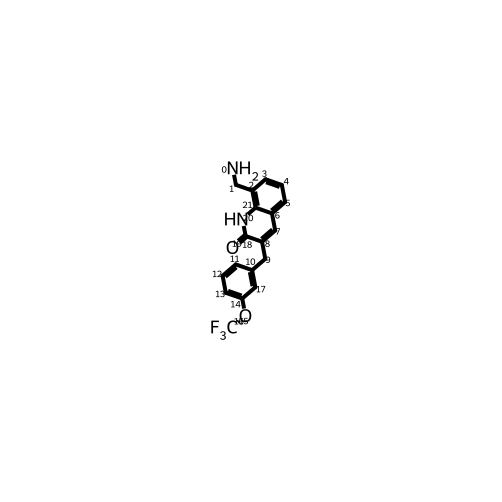 NCc1cccc2cc(Cc3cccc(OC(F)(F)F)c3)c(=O)[nH]c12